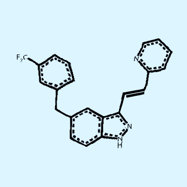 FC(F)(F)c1cccc(Cc2ccc3[nH]nc(C=Cc4ccccn4)c3c2)c1